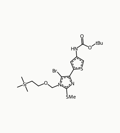 CSc1nc(-c2cc(NC(=O)OC(C)(C)C)cs2)c(Br)n1COCC[Si](C)(C)C